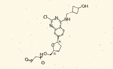 O=PC[PH](=O)OC[C@@H]1CC[C@H](c2ccc3c(NCC4CC(O)C4)nc(Cl)nc3c2)O1